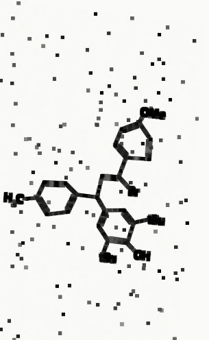 COc1ccc(C(Br)=CC(c2ccc(C)cc2)c2cc(C(C)(C)C)c(O)c(C(C)(C)C)c2)cc1